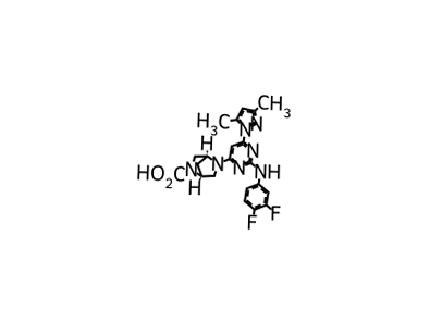 Cc1cc(C)n(-c2cc(N3C[C@@H]4C[C@H]3CN4C(=O)O)nc(Nc3ccc(F)c(F)c3)n2)n1